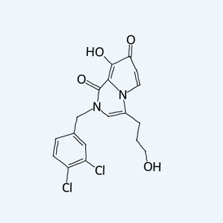 O=c1ccn2c(CCCO)cn(Cc3ccc(Cl)c(Cl)c3)c(=O)c2c1O